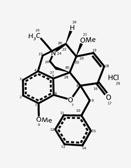 COc1ccc2c3c1OC1(Cc4ccccc4)C(=O)C=C[C@@]4(OC)[C@@H](C2)N(C)CC[C@]314.Cl